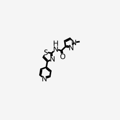 Cn1ccc(C(=O)Nc2nc(-c3ccncc3)cs2)n1